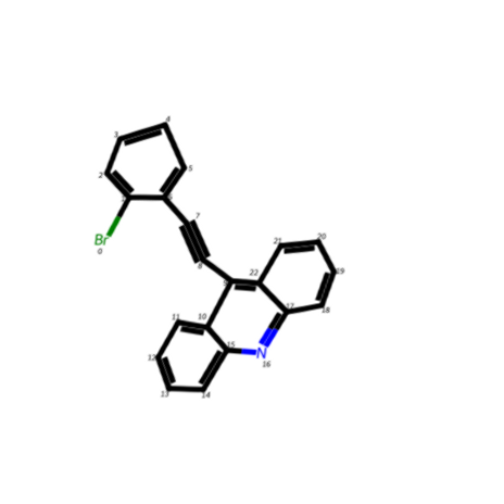 Brc1ccccc1C#Cc1c2ccccc2nc2ccccc12